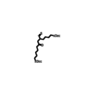 CCCCCCCCCCCCCCCC(=O)CC([C]=S)CCCCCCCCCCCCCC